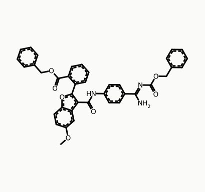 COc1ccc2oc(-c3ccccc3C(=O)OCc3ccccc3)c(C(=O)Nc3ccc(C(N)=NC(=O)OCc4ccccc4)cc3)c2c1